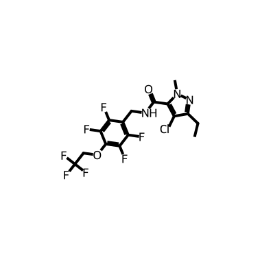 CCc1nn(C)c(C(=O)NCc2c(F)c(F)c(OCC(F)(F)F)c(F)c2F)c1Cl